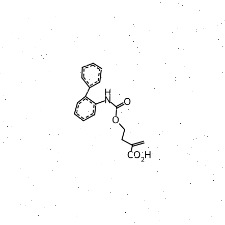 C=C(CCOC(=O)Nc1ccccc1-c1ccccc1)C(=O)O